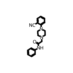 N#Cc1ccccc1N1CCN(CC(=O)Nc2ccccc2)CC1